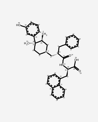 C[C@H]1CN(C[C@H](Cc2ccccc2)C(=O)N[C@H](Cc2cccc3ccccc23)C(=O)O)CC[C@@]1(C)c1cccc(O)c1